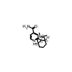 CO[C@@]1(c2cc(C(N)=O)ccn2)[C@@H]2CCC[C@H]1CN(C)C2